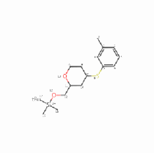 Cc1cccc(SC2CCOC(CO[Si](C)(C)C(C)(C)C)C2)c1